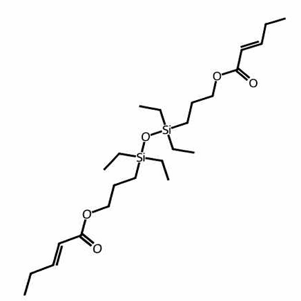 CCC=CC(=O)OCCC[Si](CC)(CC)O[Si](CC)(CC)CCCOC(=O)C=CCC